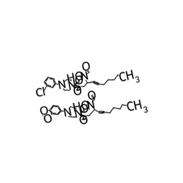 CCCCCC#CC(CS(=O)(=O)N1CCN(c2ccc3c(c2)OCO3)CC1)N(O)C=O.CCCCCC#CC(CS(=O)(=O)N1CCN(c2cccc(Cl)c2)CC1)N(O)C=O